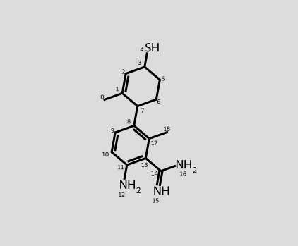 CC1=CC(S)CCC1c1ccc(N)c(C(=N)N)c1C